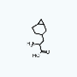 NC(CC1CCC2CC2C1)C(=O)O